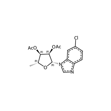 CC(=O)O[C@@H]1[C@H](OC(C)=O)[C@@H](C)O[C@H]1n1cnc2ccc(Cl)cc21